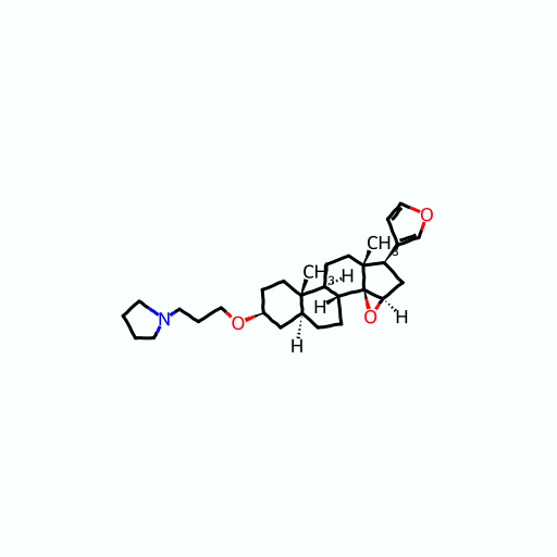 C[C@]12CC[C@H](OCCCN3CCCC3)C[C@@H]1CC[C@@H]1[C@@H]2CC[C@]2(C)[C@@H](c3ccoc3)C[C@H]3O[C@]132